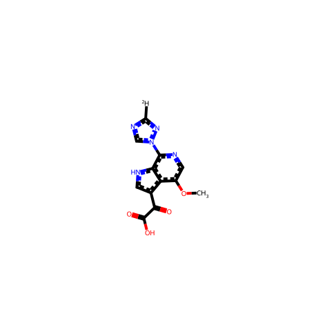 [2H]c1ncn(-c2ncc(OC)c3c(C(=O)C(=O)O)c[nH]c23)n1